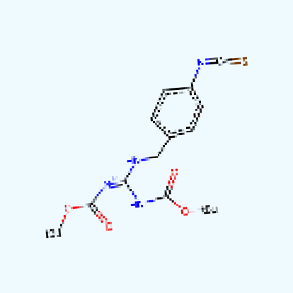 CC(C)(C)OC(=O)/N=C(/NCc1ccc(N=C=S)cc1)NC(=O)OC(C)(C)C